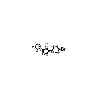 Brc1ccc(-c2cnc([C@H]3CCCS3)[nH]2)cc1